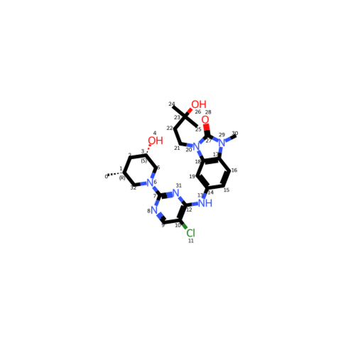 C[C@@H]1C[C@H](O)CN(c2ncc(Cl)c(Nc3ccc4c(c3)n(CCC(C)(C)O)c(=O)n4C)n2)C1